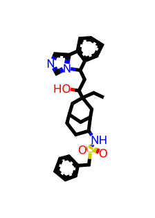 CCC1(C(O)CC2c3ccccc3-c3cncn32)CC2CCC(NS(=O)(=O)Cc3ccccc3)C(C2)C1